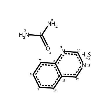 NC(N)=O.S.c1ccc2ncncc2c1